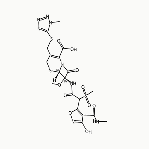 CNC(=O)c1c(O)noc1C(C(=O)N[C@]1(OC)C(=O)N2C(C(=O)O)=C(CSc3nnnn3C)CS[C@H]21)S(C)(=O)=O